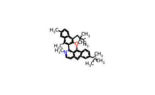 Cc1ccc2c(CC(C)(C)C)c3c(c(C)c2c1)-c1c2c(c4ccc([Si](C)(C)C)cc4cc2cc[n+]1C)O3